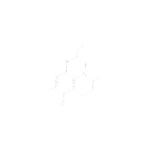 CCC1COc2c(F)c(F)cc3c2N1CC(C=O)C3=O